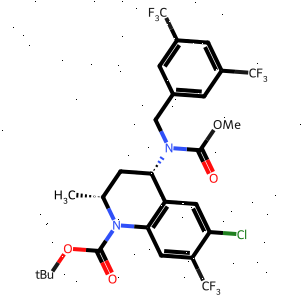 COC(=O)N(Cc1cc(C(F)(F)F)cc(C(F)(F)F)c1)[C@H]1C[C@@H](C)N(C(=O)OC(C)(C)C)c2cc(C(F)(F)F)c(Cl)cc21